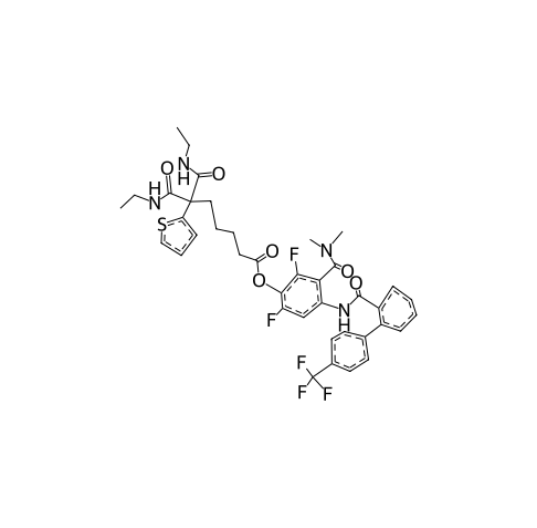 CCNC(=O)C(CCCCC(=O)Oc1c(F)cc(NC(=O)c2ccccc2-c2ccc(C(F)(F)F)cc2)c(C(=O)N(C)C)c1F)(C(=O)NCC)c1cccs1